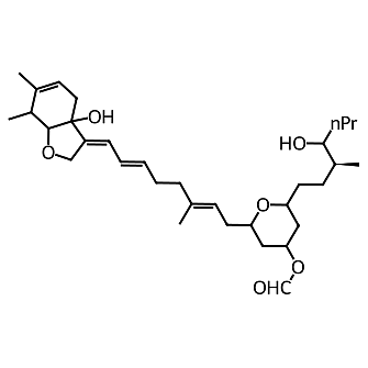 CCCC(O)[C@@H](C)CCC1CC(OC=O)CC(C/C=C(\C)CC/C=C/C=C2\COC3C(C)C(C)=CCC23O)O1